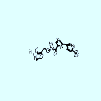 CCOc1ccc(-c2cncc(C(=O)NOCc3ocnc3C)n2)cn1